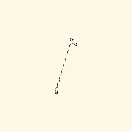 CCC=CC=CC=CC=CCCCCCCCC([O])=O